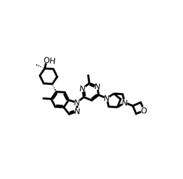 Cc1nc(N2CC3CC2CN3C2COC2)cc(-n2ncc3cc(C)c([C@H]4CC[C@](C)(O)CC4)cc32)n1